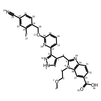 COCCn1c(Cc2c[nH]nc2-c2cccc(OCc3ccc(C#N)cc3F)n2)nc2ccc(C(=O)O)cc21